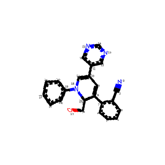 N#Cc1ccccc1C1=CC(c2cncnc2)=CN(c2ccccc2)C1C=O